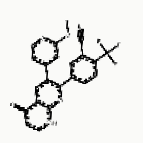 COc1cc(-c2cc3c(=O)cc[nH]c3nc2-c2ccc(C(F)(F)F)c(C#N)c2)ccn1